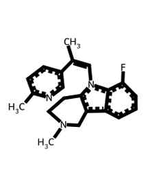 C/C(=C/n1c2c(c3cccc(F)c31)CN(C)CC2)c1ccc(C)nc1